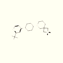 O=S1(=O)CC2(CCCN([C@H]3CC[C@H](c4ccnc(C(F)(F)F)c4)CC3)C2)C1